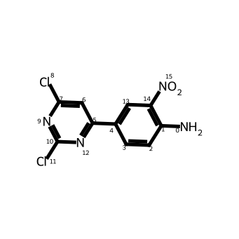 Nc1ccc(-c2cc(Cl)nc(Cl)n2)cc1[N+](=O)[O-]